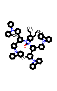 CCCc1cc2c(cc1CCC)n(-c1cc(-c3cccc(N(c4ccccc4)c4ccccc4C)c3)cc(-c3cccc(-n4c5ccccc5c5ccccc54)c3)c1)c(=O)n2-c1cc(C2=CC(C)CC(n3c4ccccc4c4ccccc43)=C2)cc(-c2cccc(-n3c4ccccc4c4ccccc43)c2)c1